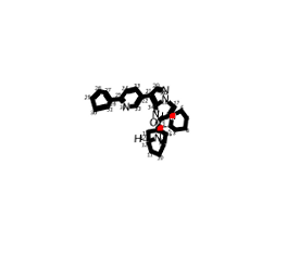 O=C([C@H]1CCCCN1)N1C2CC[C@H]1C[C@H](c1ccn3ncc(-c4ccc(-c5ccccc5)nc4)c3n1)C2